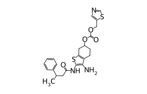 CC(CC(=O)Nc1sc2c(c1N)CCC(OC(=O)OCc1cncs1)C2)c1ccccc1